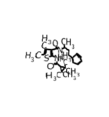 Cc1sc(NC(=O)C2C(C)(C)C2(C)C)c(C(=O)NC(C)CCc2ccccc2)c1C